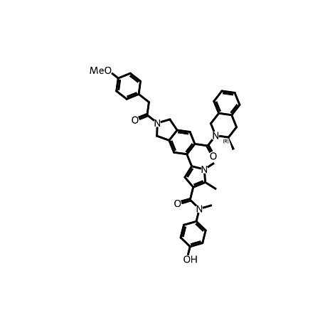 COc1ccc(CC(=O)N2Cc3cc(C(=O)N4Cc5ccccc5C[C@H]4C)c(-c4cc(C(=O)N(C)c5ccc(O)cc5)c(C)n4C)cc3C2)cc1